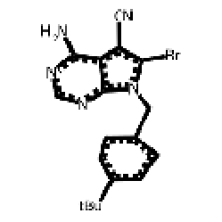 CC(C)(C)c1ccc(Cn2c(Br)c(C#N)c3c(N)ncnc32)cc1